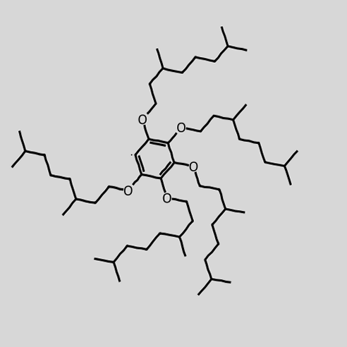 CC(C)CCCC(C)CCOc1[c]c(OCCC(C)CCCC(C)C)c(OCCC(C)CCCC(C)C)c(OCCC(C)CCCC(C)C)c1OCCC(C)CCCC(C)C